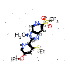 CCSc1cc(OC(C)C)cnc1-c1nc2cc(S(=O)(=O)C(F)(F)F)ncc2n1C